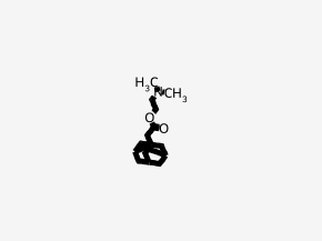 CN(C)CCOC(=O)CC12CC3CC(CC(C3)C1)C2